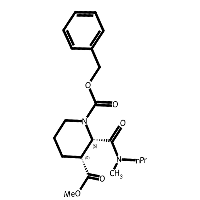 CCCN(C)C(=O)[C@@H]1[C@H](C(=O)OC)CCCN1C(=O)OCc1ccccc1